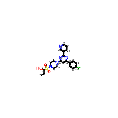 CCC(O)S(=O)(=O)N1CCN(c2cc(-c3ccc(Cl)cc3)nc(-c3cccnc3)n2)CC1